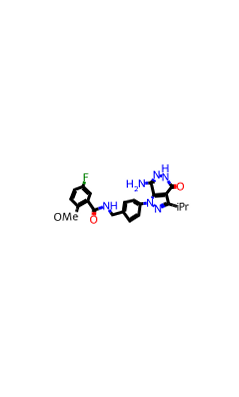 COc1ccc(F)cc1C(=O)NCc1ccc(-n2nc(C(C)C)c3c(=O)[nH]nc(N)c32)cc1